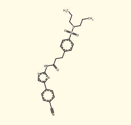 CCCN(CCC)S(=O)(=O)c1ccc(CCC(=O)Nc2nc(-c3ccc(C#N)cc3)cs2)cc1